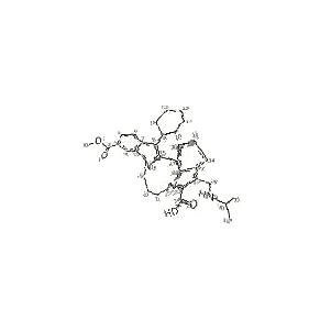 COC(=O)c1ccc2c(C3CCCCC3)c3n(c2c1)CCCn1c(C(=O)O)c(CNC(C)C)c2cccc-3c21